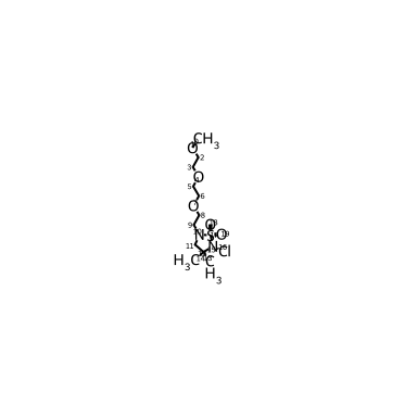 COCCOCCOCCN1CC(C)(C)N(Cl)S1(=O)=O